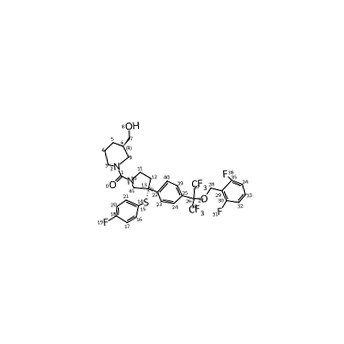 O=C(N1CCC[C@@H](CO)C1)N1CC[C@@](Sc2ccc(F)cc2)(c2ccc(C(OCc3c(F)cccc3F)(C(F)(F)F)C(F)(F)F)cc2)C1